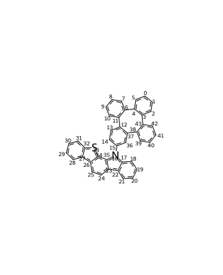 c1ccc2c(c1)-c1ccccc1-c1ccc(-n3c4ccccc4c4ccc5c6ccccc6sc5c43)cc1-c1ccccc1-2